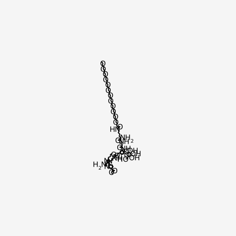 CCCCc1nc2c(N)nc3cc(C(=O)OC)ccc3c2n1CCNC(=O)OCc1ccc(O[C@H]2O[C@H](CO)[C@@H](O)[C@H](O)[C@@H]2O)c(NC(=O)CCNC(=O)[C@@H](N)CCCCNC(=O)CCOCCOCCOCCOCCOCCOCCOCCOCCOCCOCCOCCOC)c1